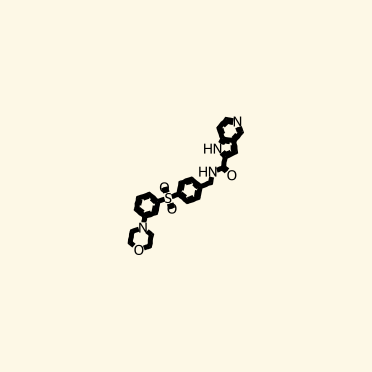 O=C(NCc1ccc(S(=O)(=O)c2cccc(N3CCOCC3)c2)cc1)c1cc2cnccc2[nH]1